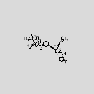 COCCNc1nc(Nc2cccc(F)c2)ncc1C#C[C@@H]1CCC[C@H](NC(=O)CN(C)C(=O)OC(C)(C)C)C1